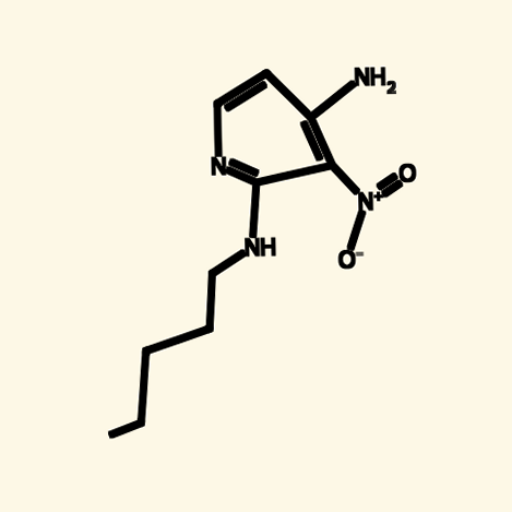 CCCCCNc1nccc(N)c1[N+](=O)[O-]